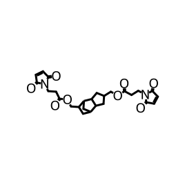 O=C(CCN1C(=O)C=CC1=O)OCC1CC2C3CC(COC(=O)CCN4C(=O)C=CC4=O)C(C3)C2C1